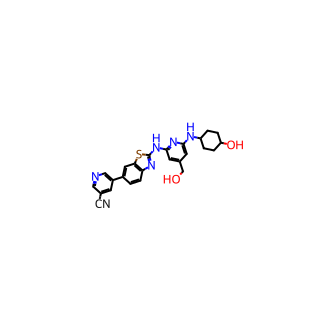 N#Cc1cncc(-c2ccc3nc(Nc4cc(CO)cc(NC5CCC(O)CC5)n4)sc3c2)c1